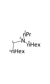 CCCCCCCN(CCC)CCCCCC